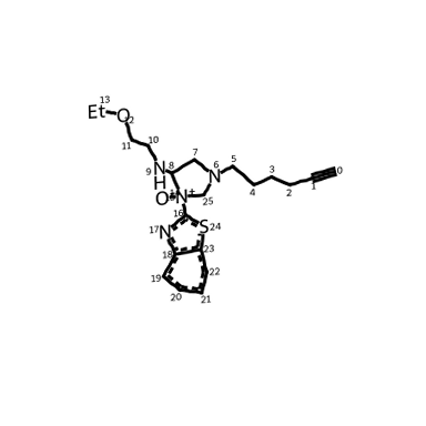 C#CCCCCN1CC(NCCOCC)[N+]([O-])(c2nc3ccccc3s2)C1